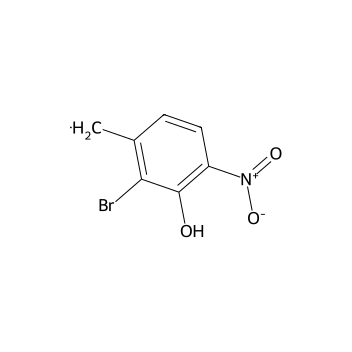 [CH2]c1ccc([N+](=O)[O-])c(O)c1Br